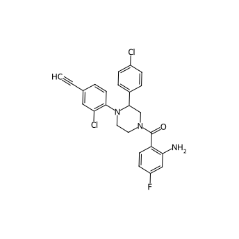 C#Cc1ccc(N2CCN(C(=O)c3ccc(F)cc3N)CC2c2ccc(Cl)cc2)c(Cl)c1